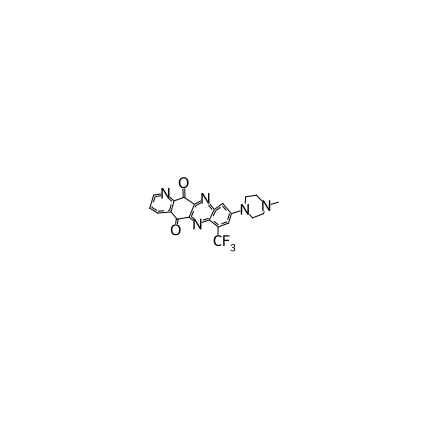 CN1CCN(c2cc(C(F)(F)F)c3nc4c(nc3c2)C(=O)c2ncccc2C4=O)CC1